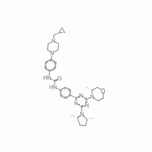 C[C@@H]1COCCN1c1nc(-c2ccc(NC(=O)Nc3ccc(N4CCN(CC5CC5)CC4)cc3)cc2)nc(N2[C@H](C)CC[C@@H]2C)n1